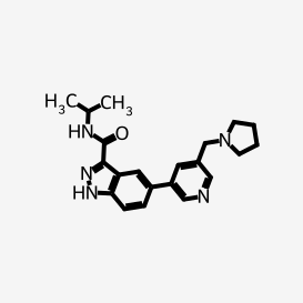 CC(C)NC(=O)c1n[nH]c2ccc(-c3cncc(CN4CCCC4)c3)cc12